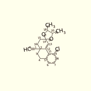 C#CC12CCc3cccc(Cl)c3C1=CC1(CC2)OC(C)C(C)O1